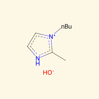 CCCC[n+]1cc[nH]c1C.[OH-]